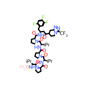 BNC(C(=O)N1CCCC1C(=O)NC(C(=O)N1CCCC1C(=O)NC(C(=O)N1CCCC1C(=O)NC(CC(=O)C1CCn2c(nnc2C(F)(F)F)C1)Cc1cc(F)c(F)cc1F)C(C)C)C(C)C)C(C)C